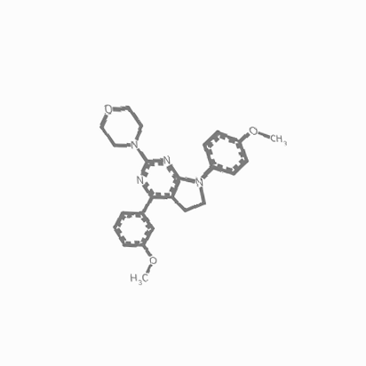 COc1ccc(N2CCc3c(-c4cccc(OC)c4)nc(N4CCOCC4)nc32)cc1